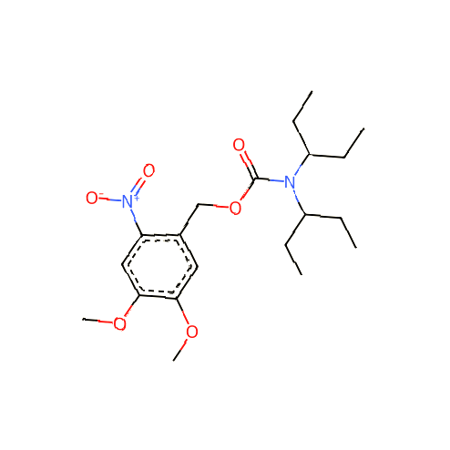 CCC(CC)N(C(=O)OCc1cc(OC)c(OC)cc1[N+](=O)[O-])C(CC)CC